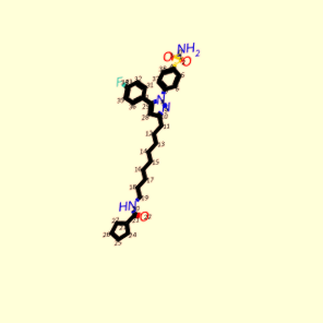 NS(=O)(=O)c1ccc(-n2nc(CCCCCCCCCNC(=O)C3CCCC3)cc2-c2ccc(F)cc2)cc1